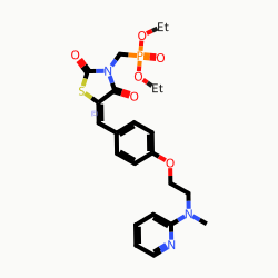 CCOP(=O)(CN1C(=O)S/C(=C/c2ccc(OCCN(C)c3ccccn3)cc2)C1=O)OCC